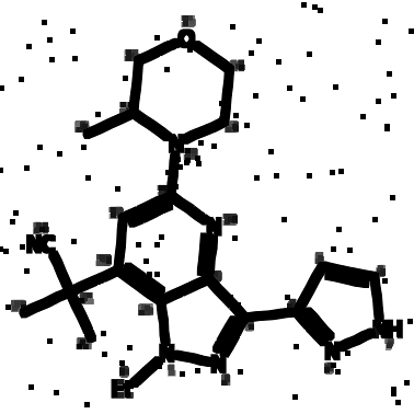 CCn1nc(-c2cc[nH]n2)c2nc(N3CCOCC3C)cc(C(C)(C)C#N)c21